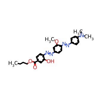 CCCCOC(=O)c1ccc(/N=N/c2ccc(/N=N/c3ccc(N(C)C)cc3)c(OC)c2)c(O)c1